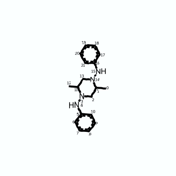 CC1CN(Nc2ccccc2)C(C)CN1Nc1ccccc1